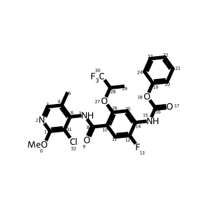 COc1ncc(C)c(NC(=O)c2cc(F)c(NC(=O)Oc3ccccc3)cc2OC(C)C(F)(F)F)c1Cl